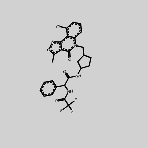 Cc1onc2c1c(=O)n(CC1CCC(NC(=O)C(NC(=O)C(F)(F)F)c3ccccc3)C1)c1cccc(Cl)c21